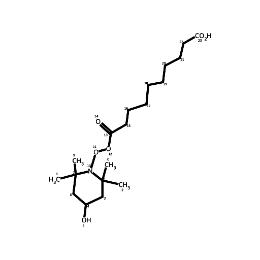 CC1(C)CC(O)CC(C)(C)N1OOC(=O)CCCCCCCCC(=O)O